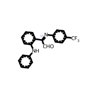 O=C/C(=N\c1ccc(C(F)(F)F)cc1)c1ccccc1Nc1ccccc1